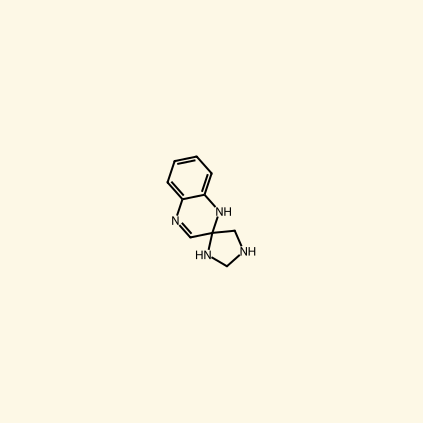 C1=Nc2ccccc2NC12CNCN2